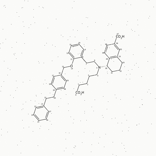 O=C(O)CCCCN(CCc1ccccc1OCc1ccc(CCc2ccccc2)cc1)[C@H]1CCCc2cc(C(=O)O)ccc21